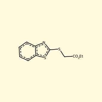 CCOC(=O)CSc1nc2ccccc2s1